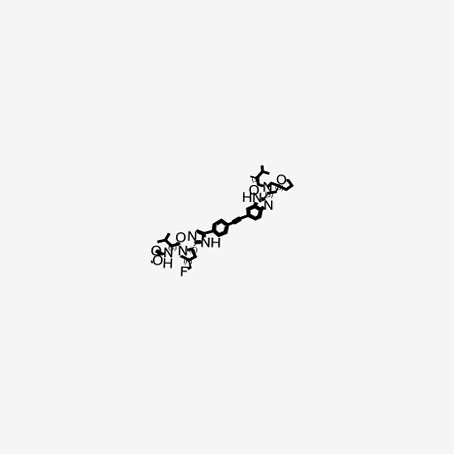 COC(=O)N[C@H](C(=O)N1C[C@H](CF)C[C@H]1c1ncc(-c2ccc(C#Cc3ccc4nc([C@@H]5C[C@@]6(CCCO6)CN5C(=O)[C@@H](C)C(C)C)[nH]c4c3)cc2)[nH]1)C(C)C